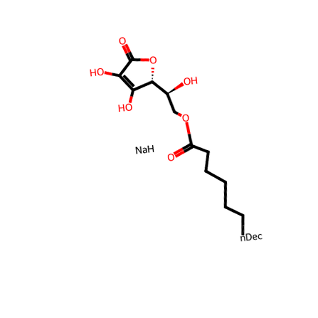 CCCCCCCCCCCCCCCC(=O)OC[C@H](O)[C@H]1OC(=O)C(O)=C1O.[NaH]